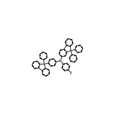 Fc1ccc(N(c2ccc(C3(c4ccccc4)c4ccccc4-c4ccccc43)cc2)c2ccc3c(c2)C(c2ccccc2)(c2ccccc2)c2ccccc2-3)cc1